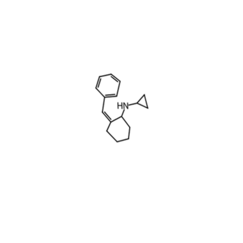 C(=C1CCCCC1NC1CC1)c1ccccc1